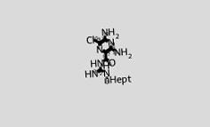 CCCCCCCNC(=N)NC(=O)c1nc(Cl)c(N)nc1N